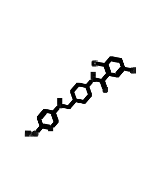 COc1ccc(NCC2CCC(NC(=O)c3cc(Cl)ccc3Cl)CC2)cn1